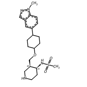 Cn1ncc2cc(C3CCC(OC[C@@H]4CNCC[C@@H]4NS(C)(=O)=O)CC3)ccc21